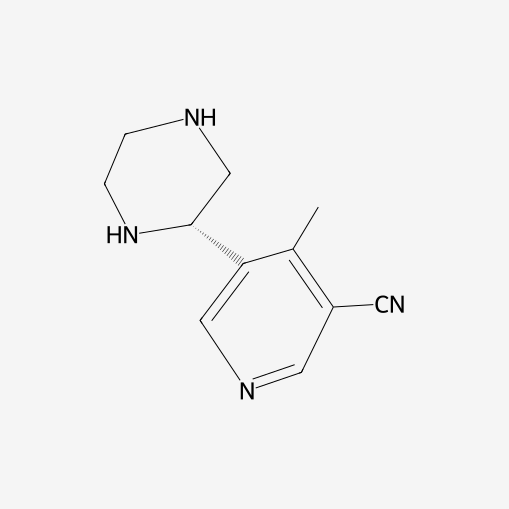 Cc1c(C#N)cncc1[C@H]1CNCCN1